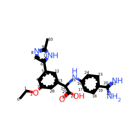 CCOc1cc(-c2cnc(C)[nH]2)cc(C(Nc2ccc(C(=N)N)cc2)C(=O)O)c1